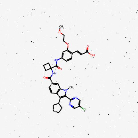 COCCOc1cc(NC(=O)C2(NC(=O)c3ccc4c(C5CCCC5)c(-c5ncc(Cl)cn5)n(C)c4c3)CCC2)ccc1C=CC(=O)O